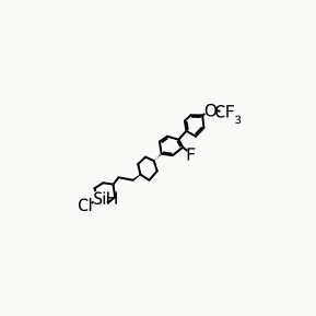 Fc1cc([C@H]2CC[C@H](CCC3CC[SiH](Cl)CC3)CC2)ccc1-c1ccc(OC(F)(F)F)cc1